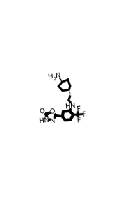 N[C@H]1CC[C@H](CCNc2cc(-c3n[nH]c(=O)o3)ccc2C(F)(F)F)CC1